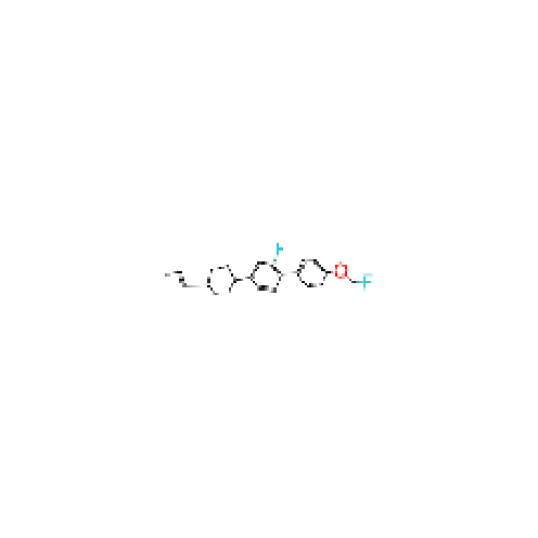 C/C=C/C1CCC(c2ccc(-c3ccc(OCF)cc3)c(F)c2)CC1